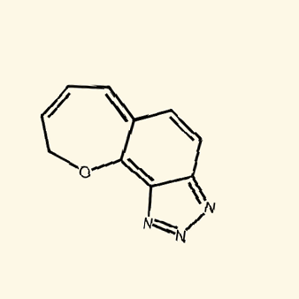 C1=CCOc2c3c(ccc2=C1)=NN=N3